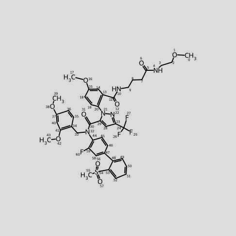 COCCNC(=O)CCCNC(=O)c1cc(OC)ccc1-n1nc(C(F)(F)F)cc1C(=O)N(Cc1ccc(OC)cc1OC)c1ccc(-c2ccccc2S(C)(=O)=O)cc1F